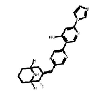 Oc1cc(-n2ccnc2)ncc1-c1cnc(/C=C2\C[C@H]3CCC[C@H](N3)[C@H]2F)cn1